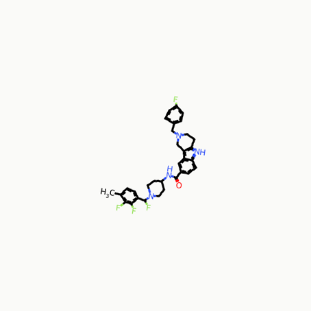 Cc1ccc(C(F)N2CCC(NC(=O)c3ccc4[nH]c5c(c4c3)CN(Cc3ccc(F)cc3)CC5)CC2)c(F)c1F